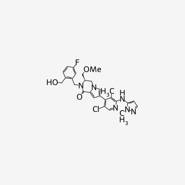 COC[C@H]1Cn2cc(-c3c(Cl)cnc(Nc4ccnn4C)c3C)cc2C(=O)N1Cc1cc(F)ccc1CO